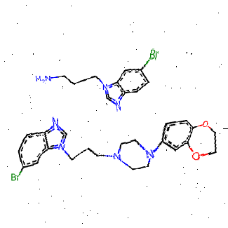 Brc1ccc2ncn(CCCN3CCN(c4ccc5c(c4)OCCO5)CC3)c2c1.NCCCn1cnc2ccc(Br)cc21